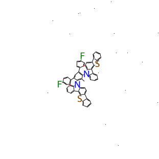 Cc1c(-n2c3ccccc3c3c4sc5ccccc5c4ccc32)c(-c2ccc(F)cc2)cc(-c2ccc(F)cc2)c1-n1c2ccccc2c2c3sc4ccccc4c3ccc21